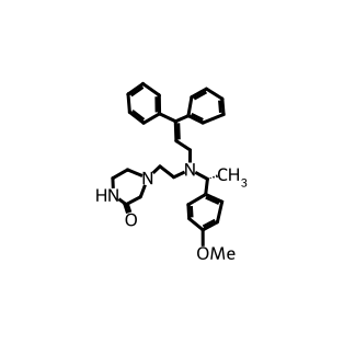 COc1ccc([C@@H](C)N(CC=C(c2ccccc2)c2ccccc2)CCN2CCNC(=O)C2)cc1